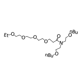 CCCCOCCN(CCOCCCC)C(=O)CCOCCOCCOCCOCC